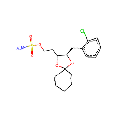 NS(=O)(=O)OCCC1OC2(CCCCC2)O[C@@H]1Cc1ccccc1Cl